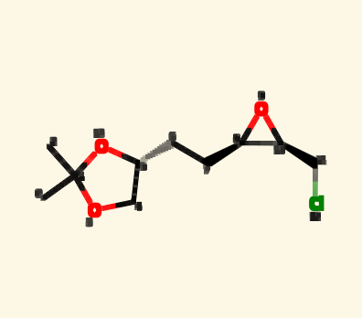 CC1(C)OC[C@@H](CC[C@H]2O[C@H]2CCl)O1